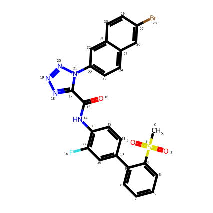 CS(=O)(=O)c1ccccc1-c1ccc(NC(=O)c2nnnn2-c2ccc3cc(Br)ccc3c2)c(F)c1